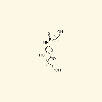 C#CP(Nc1ccc(C(=O)OC(C)CCO)c(O)c1)OC(C)(C)CO